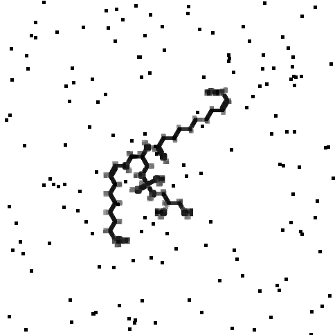 CCCCC/C=C\CCCCCCCC(=O)O[C@H](CO/C=C\CCCCCCCCCCCCCCCC)COP(=O)(O)OC[C@@H](O)CO